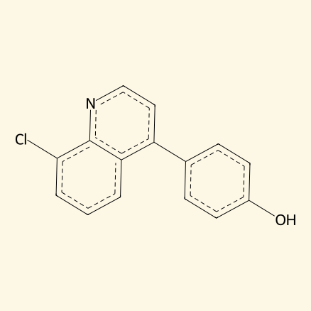 Oc1ccc(-c2ccnc3c(Cl)cccc23)cc1